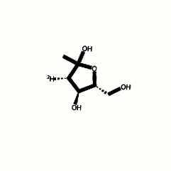 [2H][C@H]1[C@H](O)[C@@H](CO)OC1(C)O